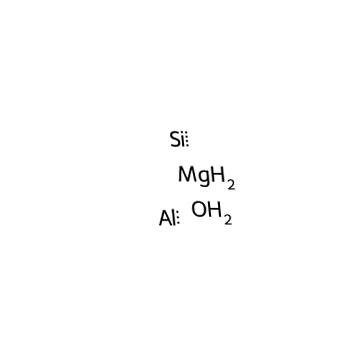 O.[Al].[MgH2].[Si]